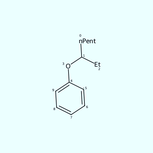 CCCCCC(CC)Oc1[c]cccc1